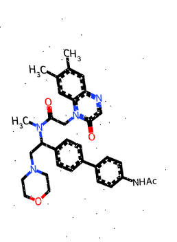 CC(=O)Nc1ccc(-c2ccc(C(CN3CCOCC3)N(C)C(=O)Cn3c(=O)cnc4cc(C)c(C)cc43)cc2)cc1